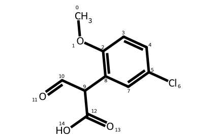 COc1ccc(Cl)cc1C(C=O)C(=O)O